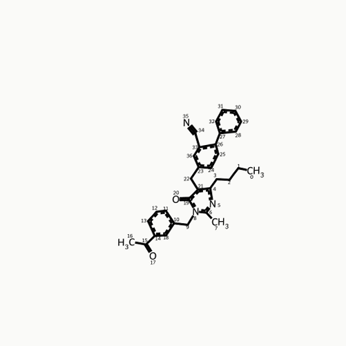 CCCCc1nc(C)n(Cc2cccc(C(C)=O)c2)c(=O)c1Cc1ccc(-c2ccccc2)c(C#N)c1